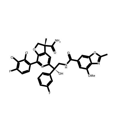 COc1cc(C(=O)NC[C@@](O)(c2cccc(F)c2)c2cc3c(c(-c4ccc(F)c(Cl)c4Cl)n2)OC[C@]3(C)C(N)=O)cc2oc(C)nc12